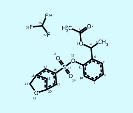 CC(=O)OC(C)c1ccccc1OS(=O)(=O)c1cc2cc(c1)OC2.FC(F)F